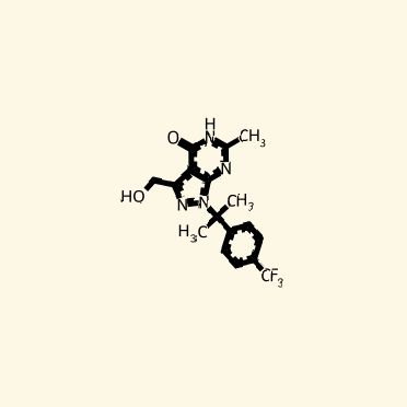 Cc1nc2c(c(CO)nn2C(C)(C)c2ccc(C(F)(F)F)cc2)c(=O)[nH]1